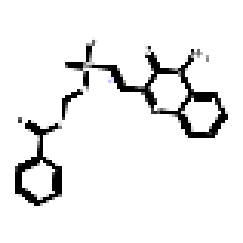 Nn1c(=O)c(/C=C/P(=O)(O)OCOC(=O)c2ccccc2)nc2ccccc21